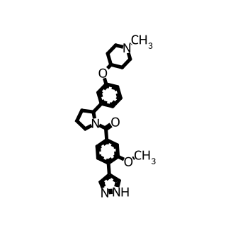 COc1cc(C(=O)N2CCCC2c2cccc(OC3CCN(C)CC3)c2)ccc1-c1cn[nH]c1